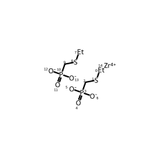 CCSCP(=O)([O-])[O-].CCSCP(=O)([O-])[O-].[Zr+4]